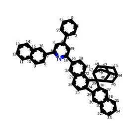 c1ccc(-c2cc(-c3ccc4ccccc4c3)nc(-c3ccc4c5c(ccc4c3)-c3cc4ccccc4cc3C53C4CC5CC(C4)CC3C5)c2)cc1